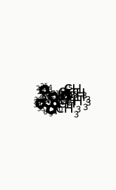 CC1(C)c2cccc3c2-c2c1c(B1OC(C)(C)C(C)(C)O1)cc1c4ccccc4n(c21)-c1ccccc1-3